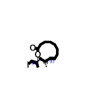 C/C(=C\I)[C@H]1OC(=O)CCCCCC/C=C/[C@@H]1C